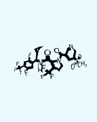 CS(=O)(=O)c1cncc(C(=O)N2CCC(C(F)(F)F)C2C(=O)NC(c2cc(F)c(C(F)(F)F)cc2F)C2CC2)c1